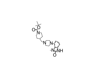 Cn1c(=O)[nH]c2cccc(N3CCN(CC4CCN(C(=O)OC(C)(C)C)CC4)CC3)c21